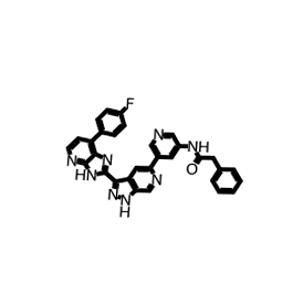 O=C(Cc1ccccc1)Nc1cncc(-c2cc3c(-c4nc5c(-c6ccc(F)cc6)ccnc5[nH]4)n[nH]c3cn2)c1